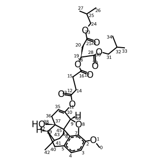 COc1ccc2c3c1O[C@H]1C(OC(=O)CCC(=O)O[C@@H](CC(=O)OCC(C)C)C(=O)OCC(C)C)=CC[C@@]4(O)[C@@H](C2)C(C)CC[C@]314